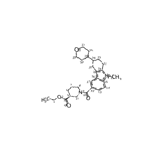 CCOC(=O)[C@H]1CCCN(C(=O)c2ccc3c(c2)c2c(n3C)CCC(C3CCOCC3)C2)C1